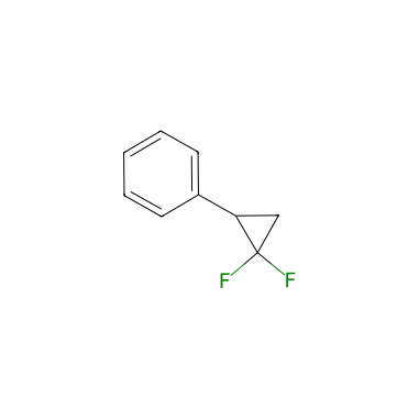 FC1(F)CC1c1ccccc1